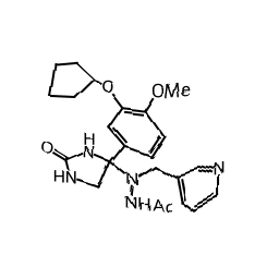 COc1ccc(C2(N(Cc3cccnc3)NC(C)=O)CNC(=O)N2)cc1OC1CCCC1